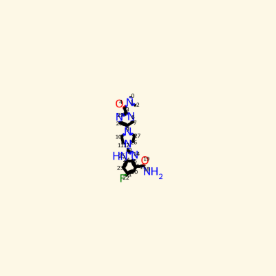 CN(C)C(=O)c1ncc(N2CCN(c3nc4c(C(N)=O)cc(F)cc4[nH]3)CC2)cn1